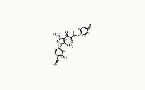 Cc1nn(-c2ccc(C#N)c(Cl)c2)c(C)c1C(=O)C(=O)NCc1ccc(F)cc1